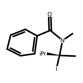 CC(C)[C@@](C)(I)N(C)C(=O)c1ccccc1